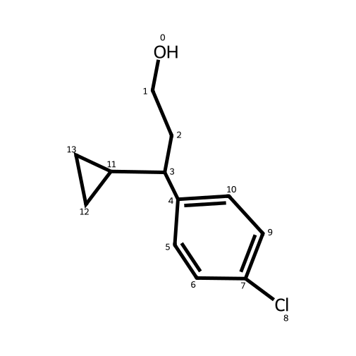 OCCC(c1ccc(Cl)cc1)C1CC1